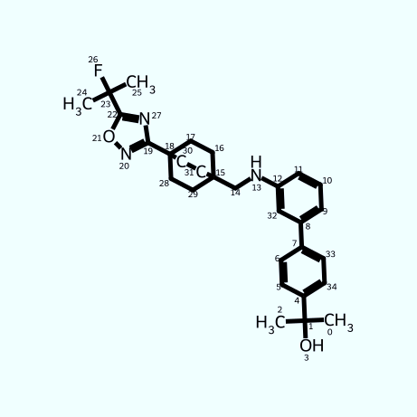 CC(C)(O)c1ccc(-c2cccc(NCC34CCC(c5noc(C(C)(C)F)n5)(CC3)CC4)c2)cc1